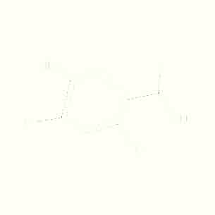 [CH2]CCc1cc(C(C)O)c(C(C)C)cc1C(C)C